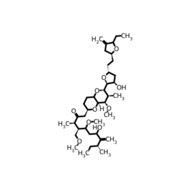 C=C1C[C@H](CC[C@@H]2C[C@@H](O)[C@@H]([C@@H]3OC4CC[C@H](CC(=O)[C@H](C)[C@H](COC)C(CC(O)C(=C)[C@H](C)CC)OC)O[C@@H]4[C@H](OC)[C@@H]3C)O2)OC1CC